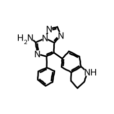 Nc1nc(-c2ccccc2)c(-c2ccc3c(c2)CCCN3)c2ncnn12